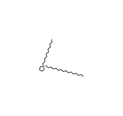 CCCCCCCCCCCCCCCC[N+]1(CCCCCCCCCCC)CCCC1